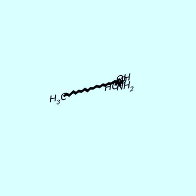 CCCCCCCCCCCCCCCCCCC(O)(O)C(N)=O